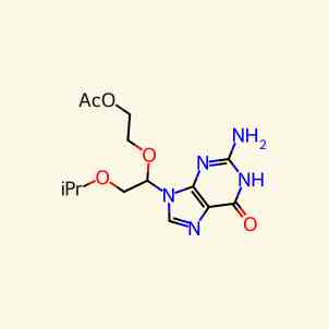 CC(=O)OCCOC(COC(C)C)n1cnc2c(=O)[nH]c(N)nc21